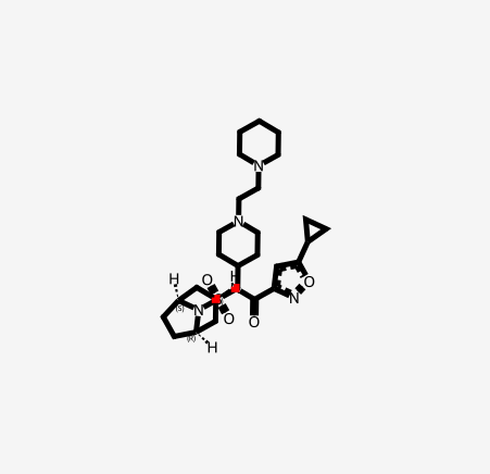 O=C(N[C@H]1C[C@H]2CC[C@@H](C1)N2S(=O)(=O)CC1CCN(CCN2CCCCC2)CC1)c1cc(C2CC2)on1